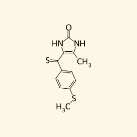 CSc1ccc(C(=S)c2[nH]c(=O)[nH]c2C)cc1